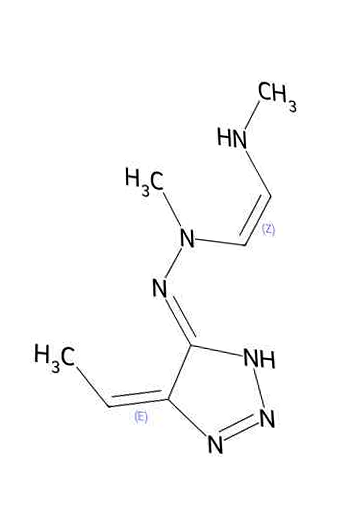 C/C=C1/N=NNC1=NN(C)/C=C\NC